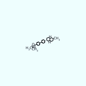 CC1CC[C@@H]2C[C@H](c3ccc(-c4ccc(C5=NC(C)(C)CO5)cc4)cc3)CC[C@@H]2C1